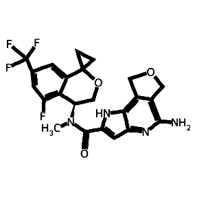 CN(C(=O)c1cc2nc(N)c3c(c2[nH]1)COC3)[C@@H]1COC2(CC2)c2cc(C(F)(F)F)cc(F)c21